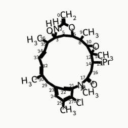 C=C1NC2(O)CC(O1)C(C)C1OC1(C)C(C(C)C)CC(=O)N(C)c1cc(cc(C)c1Cl)C/C(C)=C/C=C/C2C